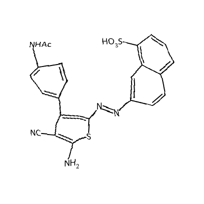 CC(=O)Nc1ccc(-c2c(N=Nc3ccc4cccc(S(=O)(=O)O)c4c3)sc(N)c2C#N)cc1